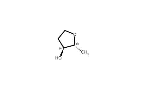 C[C@H]1OCC[C@@H]1O